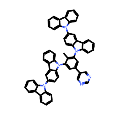 Cc1c(-n2c3ccccc3c3cc(-n4c5ccccc5c5ccccc54)ccc32)cc(-c2cncnc2)cc1-n1c2ccccc2c2cc(-n3c4ccccc4c4ccccc43)ccc21